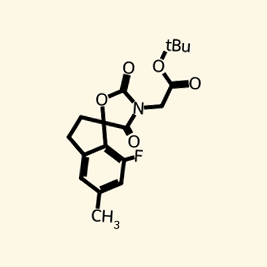 Cc1cc(F)c2c(c1)CCC21OC(=O)N(CC(=O)OC(C)(C)C)C1=O